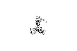 CCOP(=S)(OCC)c1cn(C[C@H]2O[C@@H](n3ccc(=O)[nH]c3=O)[C@H](OC)[C@@H]2O)nn1